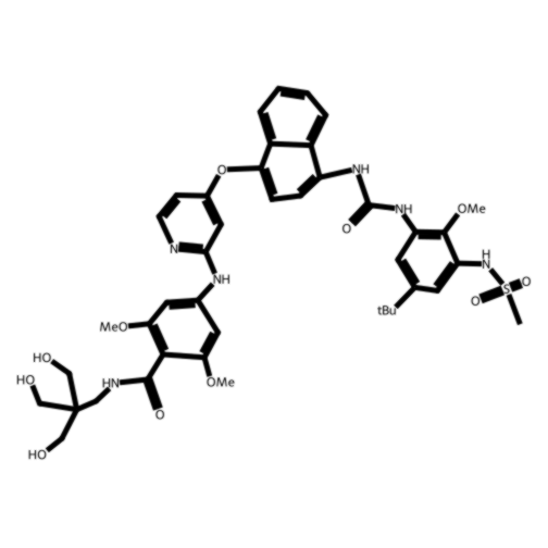 COc1cc(Nc2cc(Oc3ccc(NC(=O)Nc4cc(C(C)(C)C)cc(NS(C)(=O)=O)c4OC)c4ccccc34)ccn2)cc(OC)c1C(=O)NCC(CO)(CO)CO